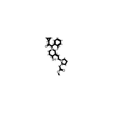 COC(=O)C[C@@H]1CCCN1CC=C1CN(C(C(=O)C2CC2)c2ccccc2F)CCC1S